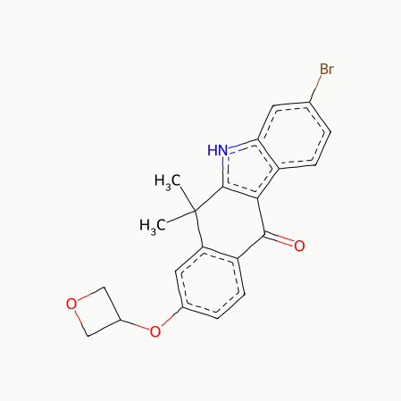 CC1(C)c2cc(OC3COC3)ccc2C(=O)c2c1[nH]c1cc(Br)ccc21